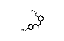 CCCOCc1cccc(CC(C)Cc2ccc(OC)cc2)c1